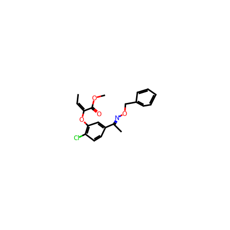 CC=C(Oc1cc(C(C)=NOCc2ccccc2)ccc1Cl)C(=O)OC